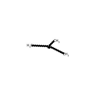 CCCCCCCCCCCCCCCCC[n+]1ccn(CCCCCCCCCCCCCCCC)c1CCCCCCCC